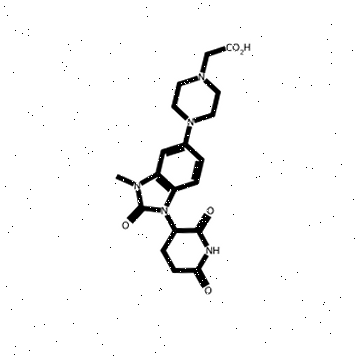 Cn1c(=O)n(C2CCC(=O)NC2=O)c2ccc(N3CCN(CC(=O)O)CC3)cc21